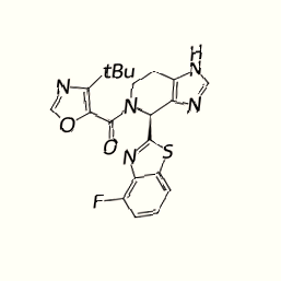 CC(C)(C)c1ncoc1C(=O)N1CCc2[nH]cnc2[C@H]1c1nc2c(F)cccc2s1